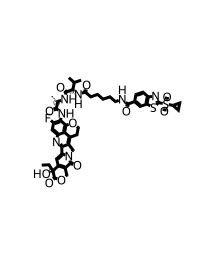 CC[C@@]1(O)C(=O)OCc2c1cc1n(c2=O)Cc2c-1nc1cc(F)c(NC(=O)[C@H](C)NC(=O)[C@@H](NC(=O)CCCCCNC(=O)c3ccc4nc(S(=O)(=O)C5CC5)sc4c3)C(C)C)c3c1c2CCO3